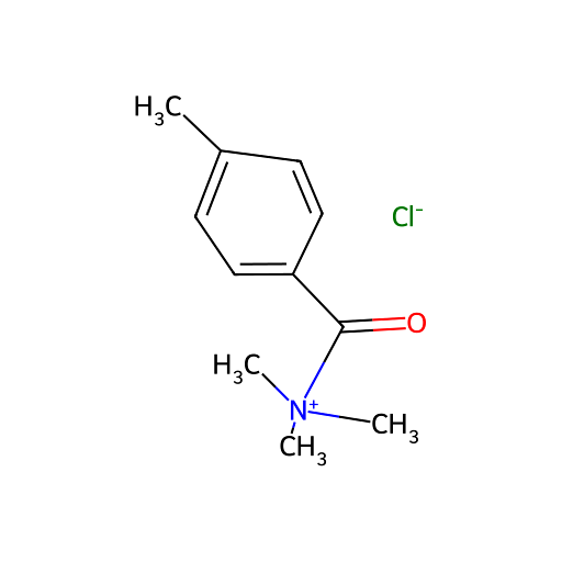 Cc1ccc(C(=O)[N+](C)(C)C)cc1.[Cl-]